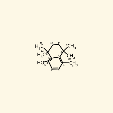 Cc1ccc(O)c2c1C(C)(C)CCC2(C)C